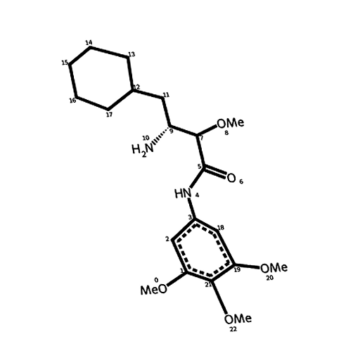 COc1cc(NC(=O)C(OC)[C@H](N)CC2CCCCC2)cc(OC)c1OC